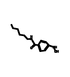 CCCCCCNC(=O)c1ccc(NO)cc1